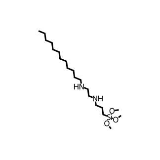 CCCCCCCCCCCCNCCNCCC[Si](OC)(OC)OC